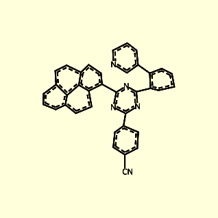 N#Cc1ccc(-c2nc(-c3ccccc3-c3cccnc3)nc(-c3ccc4ccc5cccc6ccc3c4c56)n2)cc1